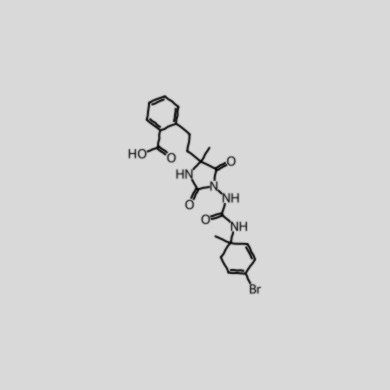 CC1(NC(=O)NN2C(=O)NC(C)(CCc3ccccc3C(=O)O)C2=O)C=CC(Br)=CC1